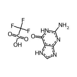 Nc1nc2nc[nH]c2c(=O)[nH]1.O=S(=O)(O)C(F)(F)F